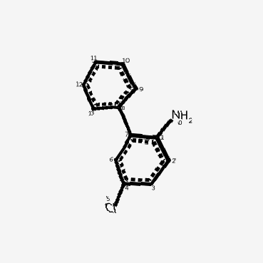 Nc1ccc(Cl)cc1-c1cc[c]cc1